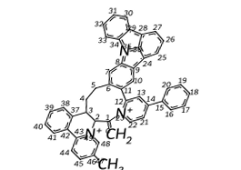 C=C1C2C(CCc3cc4c(cc3-c3cc(-c5ccccc5)cc[n+]31)c1cccc3c5ccccc5n4c31)c1ccccc1-c1ccc(C)c[n+]12